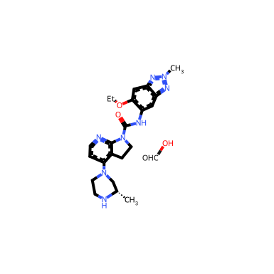 CCOc1cc2nn(C)nc2cc1NC(=O)N1CCc2c(N3CCN[C@@H](C)C3)ccnc21.O=CO